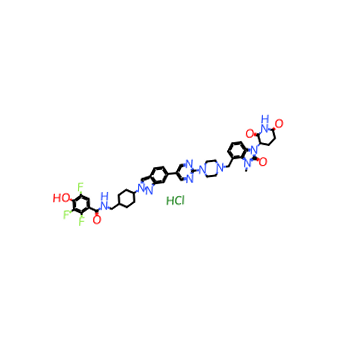 Cl.Cn1c(=O)n([C@@H]2CCC(=O)NC2=O)c2cccc(CN3CCN(c4ncc(-c5ccc6cn(C7CCC(CNC(=O)c8cc(F)c(O)c(F)c8F)CC7)nc6c5)cn4)CC3)c21